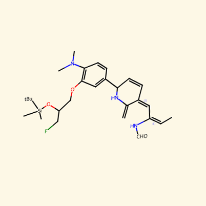 C=C1NC(c2ccc(N(C)C)c(OCC(CF)O[Si](C)(C)C(C)(C)C)c2)C=C/C1=C/C(=C\C)NC=O